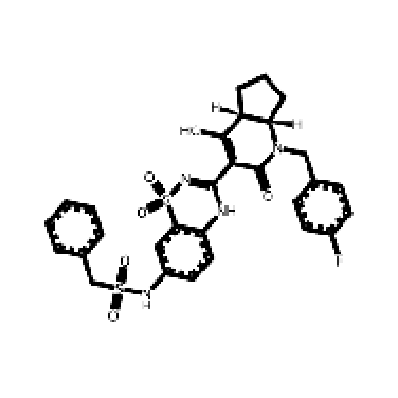 O=C1C(C2=NS(=O)(=O)c3cc(NS(=O)(=O)Cc4ccccc4)ccc3N2)=C(O)[C@@H]2CCC[C@@H]2N1Cc1ccc(F)cc1